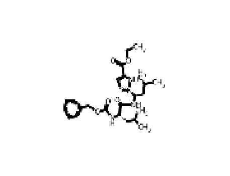 CCOC(=O)C1=CSN([C@@H](CC(C)C)NC(=O)[C@H](CC(C)C)NC(=O)OCc2ccccc2)N1